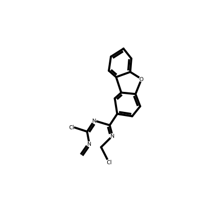 C=N/C(Cl)=N\C(=N/CCl)c1ccc2oc3ccccc3c2c1